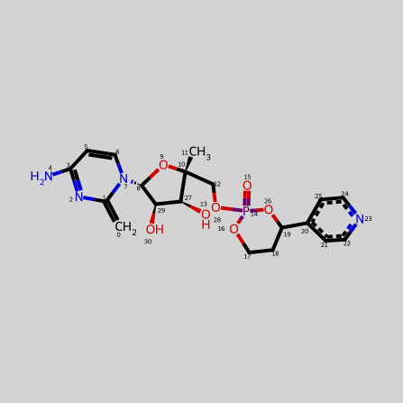 C=C1N=C(N)C=CN1[C@@H]1O[C@](C)(COP2(=O)OCCC(c3ccncc3)O2)[C@@H](O)[C@H]1O